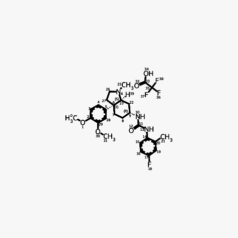 COc1ccc([C@@]23CC[C@@H](NC(=O)Nc4ccc(F)cc4C)C[C@@H]2N(C)CC3)cc1OC.O=C(O)C(F)(F)F